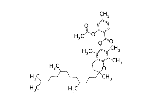 CC(=O)Oc1cc(C)ccc1C(=O)Oc1c(C)c(C)c2c(c1C)CCC(C)(CCCC(C)CCCC(C)CCCC(C)C)O2